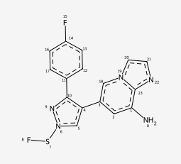 Nc1cc(-c2cn(SF)nc2-c2ccc(F)cc2)cn2ccnc12